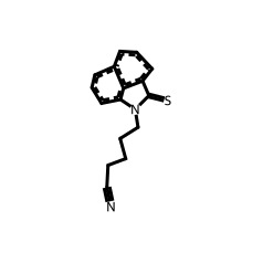 N#CCCCCN1C(=S)c2cccc3cccc1c23